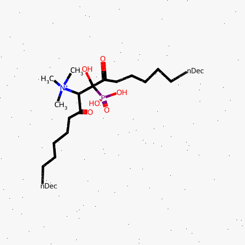 CCCCCCCCCCCCCCCC(=O)C(C(O)(C(=O)CCCCCCCCCCCCCCC)P(=O)(O)O)[N+](C)(C)C